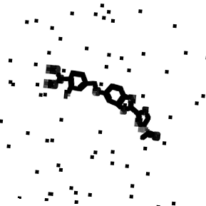 CC(=O)[C@H]1CSC(c2nc3ccc(OCc4ccc(B(O)O)c(F)c4)cc3s2)=N1